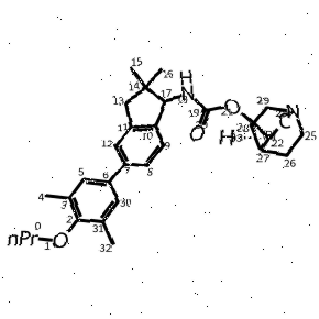 CCCOc1c(C)cc(-c2ccc3c(c2)CC(C)(C)C3NC(=O)O[C@H]2CN3CCC2CC3)cc1C